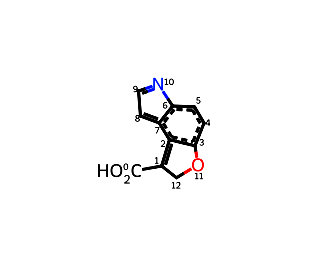 O=C(O)C1=c2c(ccc3c2=CC=N3)OC1